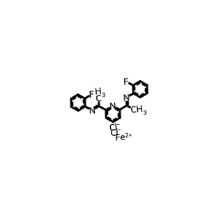 CC(=Nc1ccccc1F)c1cccc(C(C)=Nc2ccccc2F)n1.[Cl-].[Cl-].[Fe+2]